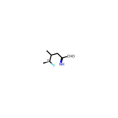 CC(CC(=N)C=O)[C@H](C)F